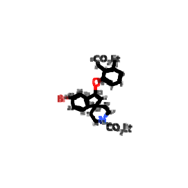 CCOC(=O)Cc1c(C)cccc1OC1CC2(CCN(C(=O)OCC)CC2)c2ccc(Br)cc21